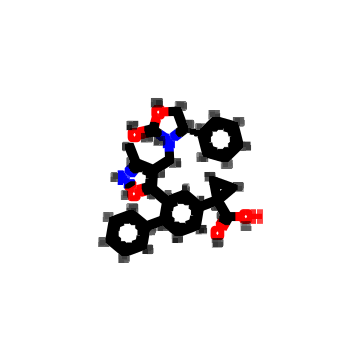 Cc1noc(-c2cc(C3(C(=O)O)CC3)ccc2-c2ccccc2)c1CN1C(=O)OC[C@@H]1c1ccccc1